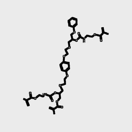 C=C(C)C(=O)OCCNC(=O)OC(COCCOc1ccc(OCCOCC(COc2ccccc2)OC(=O)NCCOC(=O)C(=C)C)cc1)COC(=O)C(=C)C